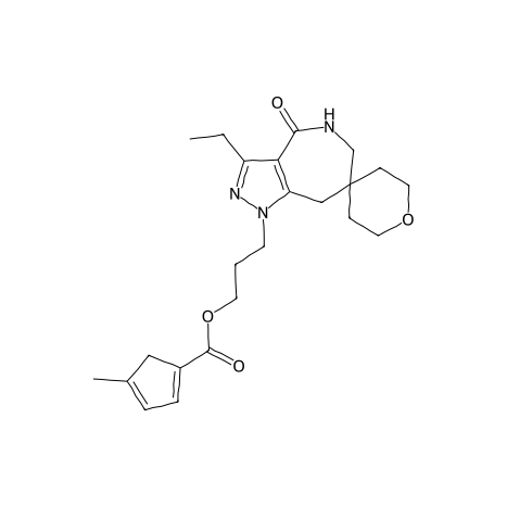 CCc1nn(CCCOC(=O)C2=CC=C(C)C2)c2c1C(=O)NCC1(CCOCC1)C2